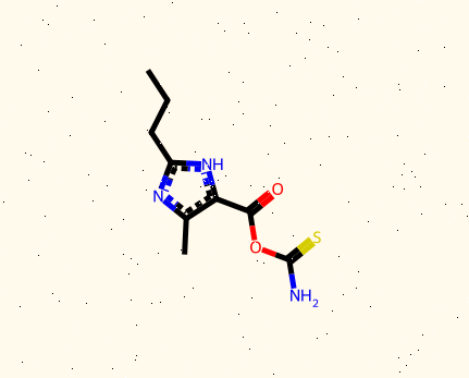 CCCc1nc(C)c(C(=O)OC(N)=S)[nH]1